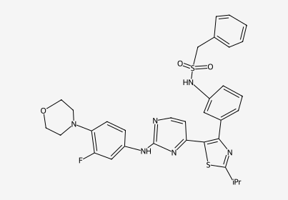 CC(C)c1nc(-c2cccc(NS(=O)(=O)Cc3ccccc3)c2)c(-c2ccnc(Nc3ccc(N4CCOCC4)c(F)c3)n2)s1